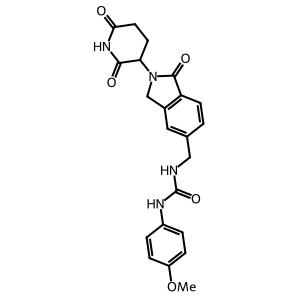 COc1ccc(NC(=O)NCc2ccc3c(c2)CN(C2CCC(=O)NC2=O)C3=O)cc1